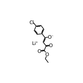 CCOC(=O)C(=O)C=C([O-])c1ccc(Cl)cc1.[Li+]